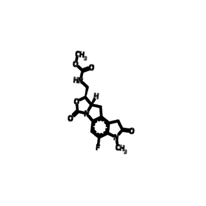 COC(=O)NC[C@@H]1OC(=O)N2c3cc(F)c4c(c3C[C@@H]12)CC(=O)N4C